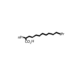 CCCC(CCCCCCCCCC(C)C)C(=O)O